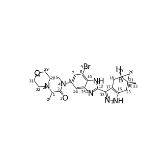 CC(C(=O)N(C)c1cc(Br)c2[nH]c(-c3n[nH]c4c3C[C@@H]3C[C@]3(C)C4)nc2c1)N1CCOCC1